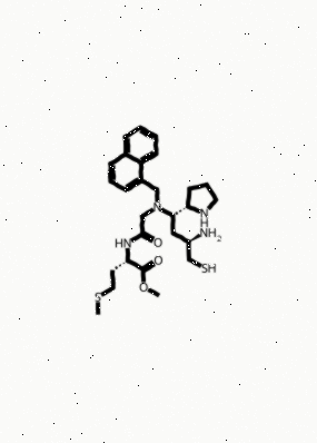 COC(=O)[C@H](CCSC)NC(=O)CN(Cc1cccc2ccccc12)C(C[C@@H](N)CS)[C@@H]1CCCN1